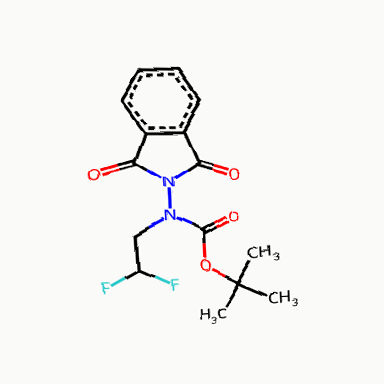 CC(C)(C)OC(=O)N(CC(F)F)N1C(=O)c2ccccc2C1=O